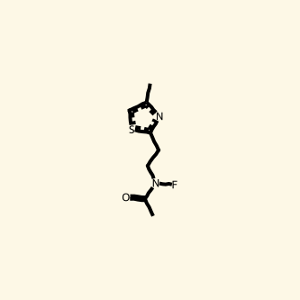 CC(=O)N(F)CCc1nc(C)cs1